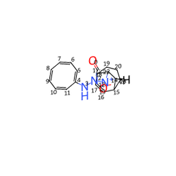 O=C1N(NC2=C/C=C\C=C/C=C\2)[N+]2([O-])[C@H]3C4C=CC(CCC4)[C@@]132